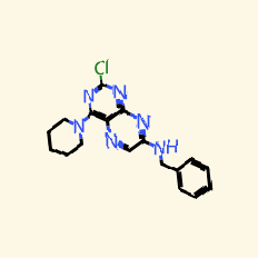 Clc1nc(N2CCCCC2)c2ncc(NCc3ccccc3)nc2n1